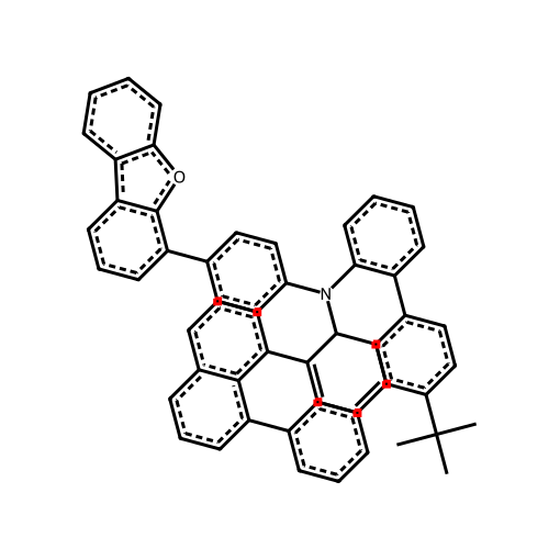 CC(C)(C)c1ccc(-c2ccccc2N(c2ccc(-c3cccc4c3oc3ccccc34)cc2)C2CC=CC=C2c2cccc3cccc(-c4ccccc4)c23)cc1